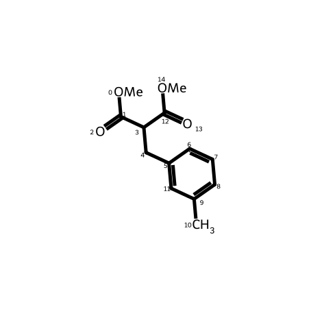 COC(=O)C(Cc1[c]ccc(C)c1)C(=O)OC